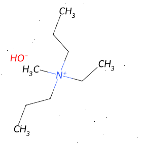 CCC[N+](C)(CC)CCC.[OH-]